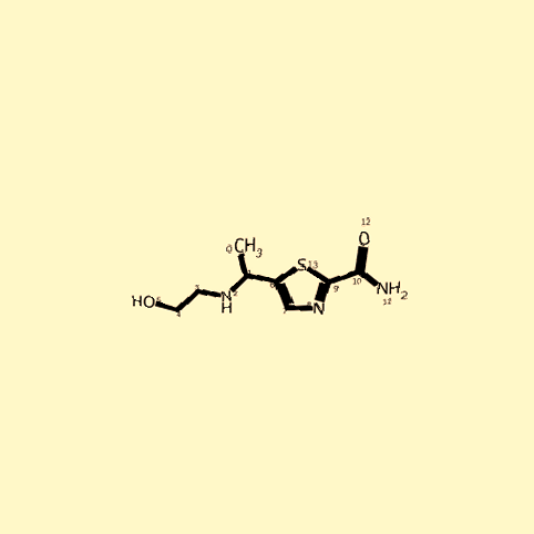 CC(NCCO)c1cnc(C(N)=O)s1